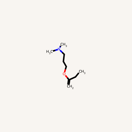 C=C(CC)OCCCN(C)C